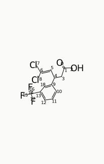 O=C(O)CC(C=C(Cl)Cl)c1cccc(C(F)(F)F)c1